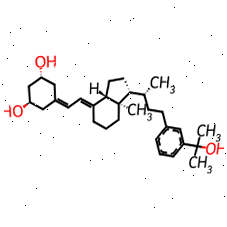 C[C@H](CCc1cccc(C(C)(C)O)c1)[C@H]1CC[C@H]2/C(=C/C=C3C[C@@H](O)C[C@H](O)C3)CCC[C@]12C